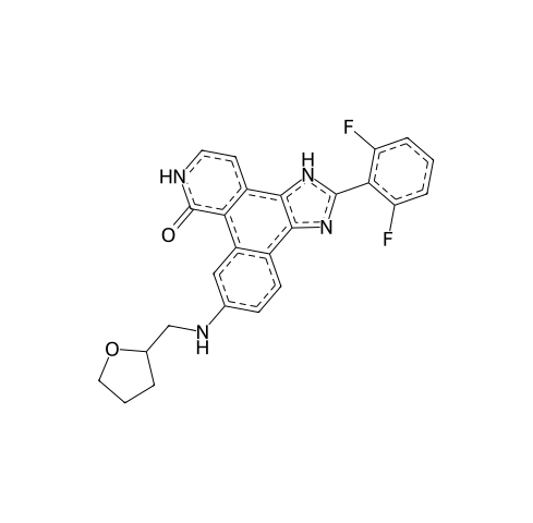 O=c1[nH]ccc2c3[nH]c(-c4c(F)cccc4F)nc3c3ccc(NCC4CCCO4)cc3c12